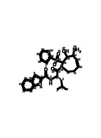 CC(C)C[C@H](NC(=O)c1cc2ccccc2o1)C(=O)N1CCC=CC(N)C(O)C1S(=O)(=O)c1ccccn1